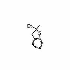 CCC1(C)Cc2ccccc2S1